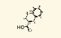 O=C(O)C1=Cc2ccccc2CC1